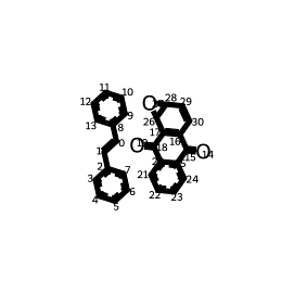 C(=Cc1ccccc1)c1ccccc1.O=C1C2=C(C(=O)c3ccccc31)C1OC1C=C2